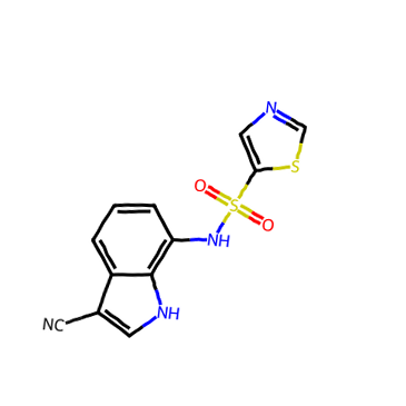 N#Cc1c[nH]c2c(NS(=O)(=O)c3cncs3)cccc12